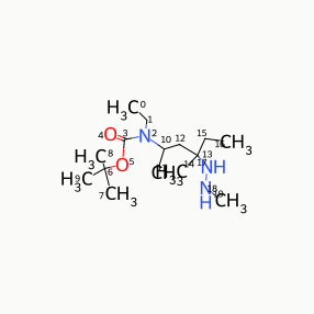 CCN(C(=O)OC(C)(C)C)C(C)CC(C)(CC)NNC